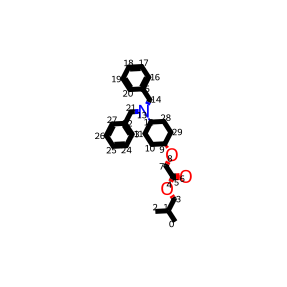 CC(C)COC(=O)CO[C@H]1CC[C@H](N(Cc2ccccc2)Cc2ccccc2)CC1